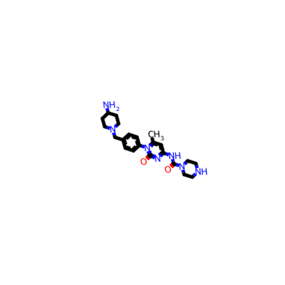 Cc1cc(NC(=O)N2CCNCC2)nc(=O)n1-c1ccc(CN2CCC(N)CC2)cc1